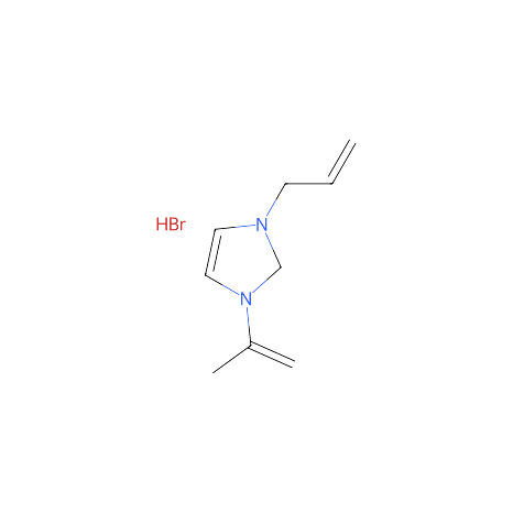 Br.C=CCN1C=CN(C(=C)C)C1